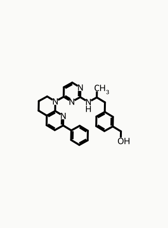 CC(Cc1cccc(CO)c1)Nc1nccc(N2CCCc3ccc(-c4ccccc4)nc32)n1